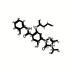 CCCC(C)Oc1cc(-n2nc(C)n(C(C)C)c2=O)c(F)cc1C(=O)Nc1ccccc1C